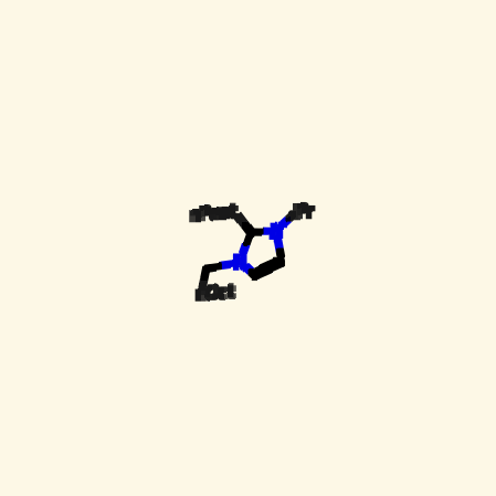 CCCCCCCCCN1C=CN(C(C)C)C1CCCCC